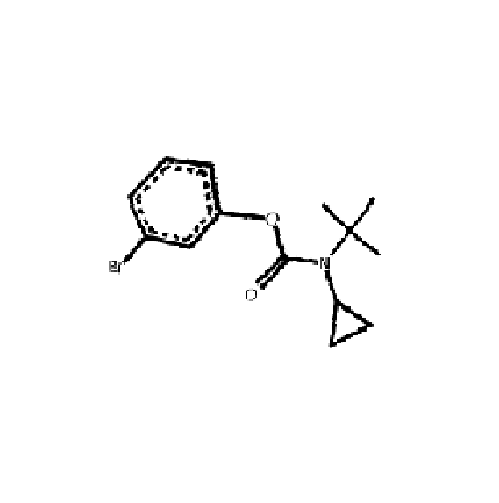 CC(C)(C)N(C(=O)Oc1cccc(Br)c1)C1CC1